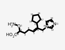 NOC(CCC=C(Cn1ccnc1)C1CCCC1)C(=O)O